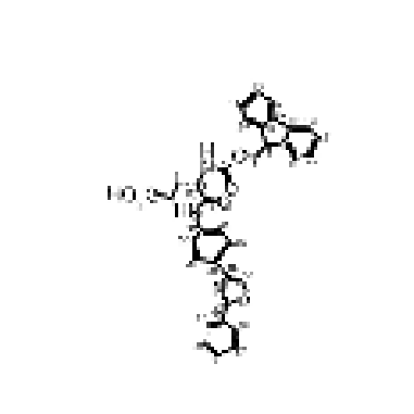 O=C(O)CC[C@H](NC(=O)OCC1c2ccccc2-c2ccccc21)C(=O)Nc1ccc(-c2csc(-c3ccccc3)n2)cc1